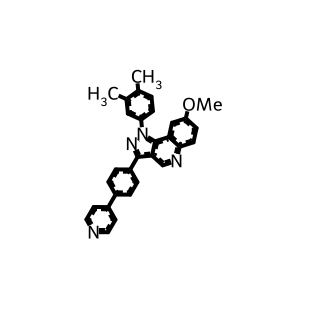 COc1ccc2ncc3c(-c4ccc(-c5ccncc5)cc4)nn(-c4ccc(C)c(C)c4)c3c2c1